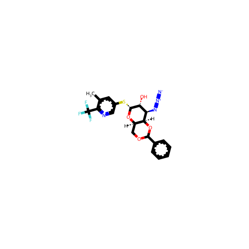 Cc1cc(S[C@H]2O[C@@H]3COC(c4ccccc4)O[C@@H]3[C@H](N=[N+]=[N-])[C@H]2O)cnc1C(F)(F)F